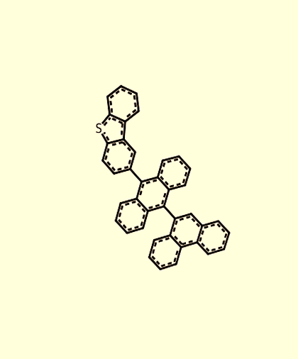 c1ccc2c(c1)cc(-c1c3ccccc3c(-c3ccc4sc5ccccc5c4c3)c3ccccc13)c1ccccc12